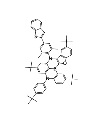 Cc1cc(-c2cc3ccccc3s2)cc(C)c1N1c2cc(C(C)(C)C)cc3c2B(c2cc(C(C)(C)C)ccc2N3c2ccc(C(C)(C)C)cc2)c2oc3ccc(C(C)(C)C)cc3c21